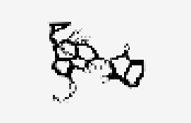 COc1ccc2c3c1O[C@H]1[C@H](N4C(=O)c5ccccc5C4=O)CC[C@@]4(O)[C@@H](C2)N(CC2CC2)CC[C@]314